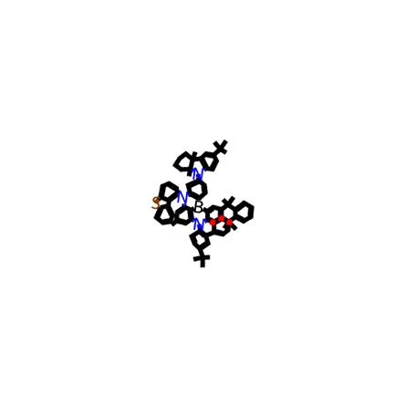 Cc1cc2c3c(c1)N(c1cccc4sc5ccccc5c14)c1cc(N4c5ccc(C(C)(C)C)cc5C5(C)CCCCC45C)ccc1B3c1cc3c(cc1N2c1ccc(C(C)(C)C)cc1-c1ccccc1)C(C)(C)c1ccccc1C3(C)C